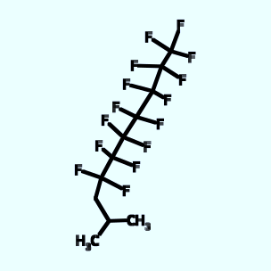 CC(C)CC(F)(F)C(F)(F)C(F)(F)C(F)(F)C(F)(F)C(F)(F)C(F)(F)F